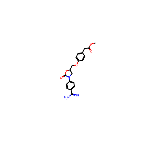 COC(=O)Cc1ccc(OCC2CN(c3ccc(C(=N)N)cc3)C(=O)O2)cc1